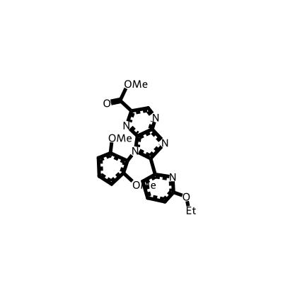 CCOc1cccc(-c2nc3ncc(C(=O)OC)nc3n2-c2c(OC)cccc2OC)n1